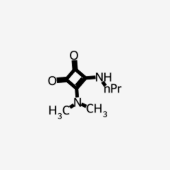 CCCNc1c(N(C)C)c(=O)c1=O